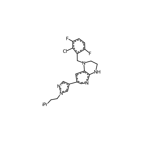 CC(C)CCn1cc(-c2cnc3c(c2)N(Cc2c(F)ccc(F)c2Cl)CCN3)cn1